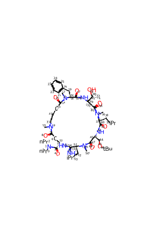 CCCN(CCC)C(=O)[C@@H]1CC(=O)N(C)CCCC(=O)N(C)[C@@H](Cc2ccccc2)C(=O)N[C@@H]([C@@H](C)O)C(=O)N(C)[C@@H](CC(C)C)C(=O)N[C@@H](COC(C)(C)C)C(=O)N(C)[C@@H](CC(C)C)C(=N)N1